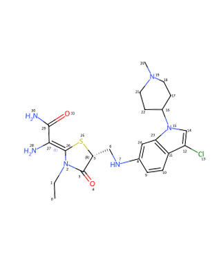 CCN1C(=O)[C@@H](CNc2ccc3c(Cl)cn(C4CCN(C)CC4)c3c2)S/C1=C(/N)C(N)=O